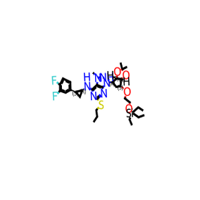 CCCSc1nc(N[C@@H]2C[C@H]2c2ccc(F)c(F)c2)c2c(n1)N([C@@H]1C[C@H](OCCO[Si](CC)(CC)CC)[C@H]3OC(C)(C)O[C@H]31)NN2C